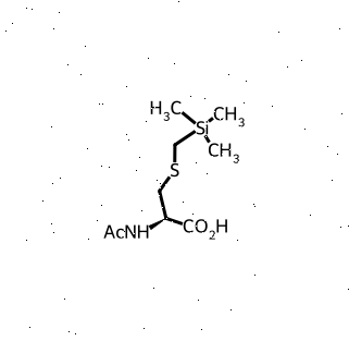 CC(=O)N[C@@H](CSC[Si](C)(C)C)C(=O)O